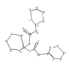 O=C(CC1(CC(=O)OC2CCCCC2)CCCCC1)OC1CCCCC1